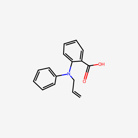 C=CCN(c1ccccc1)c1ccccc1C(=O)O